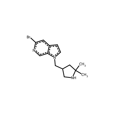 CC1(C)CC(Cn2ccc3cc(Br)ncc32)CN1